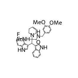 COc1ccc(CNC(=O)C(NC(C)=O)(C(c2c[nH]c3ccccc23)c2c[nH]c3ccc(F)cc23)N2CC=CCC2)cc1OC